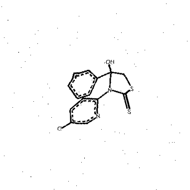 OC1(c2ccccc2)CSC(=S)N1c1ccc(Cl)cn1